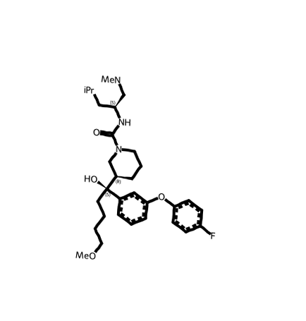 CNC[C@H](CC(C)C)NC(=O)N1CCC[C@@H]([C@@](O)(CCCCOC)c2cccc(Oc3ccc(F)cc3)c2)C1